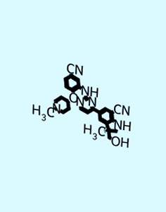 CN1CCC(Oc2ccc(C#N)cc2Nc2nccc(-c3cc(C#N)c4c(c3)[C@@](C)(CO)CN4)n2)CC1